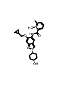 Cc1cccc(C(=O)Nc2cc3cn([C@H]4CC[C@H](O)CC4)nc3cc2OCC2CC2)[n+]1O